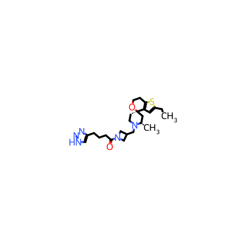 CCc1cc2c(s1)CCO[C@@]21CCN(CC2CN(C(=O)CCCc3c[nH]nn3)C2)[C@@H](C)C1